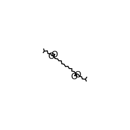 CC(C)CCCOC(=O)CCCCCCCCCCCCC(=O)OCCCC(C)C